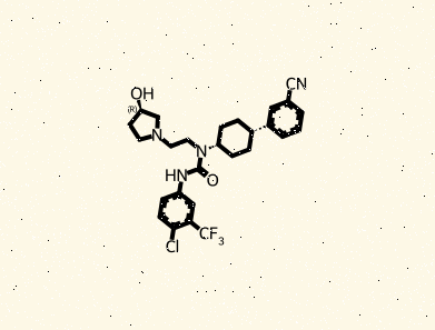 N#Cc1cccc([C@H]2CC[C@@H](N(CCN3CC[C@@H](O)C3)C(=O)Nc3ccc(Cl)c(C(F)(F)F)c3)CC2)c1